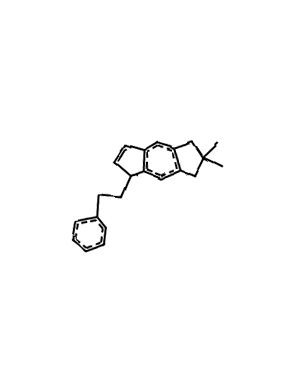 CC1(C)Cc2cc3c(cc2C1)[C](CCc1ccccc1)C=C3